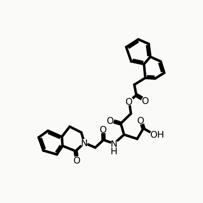 O=C(O)CC(NC(=O)CN1CCc2ccccc2C1=O)C(=O)COC(=O)Cc1cccc2ccccc12